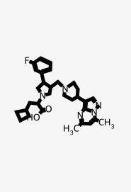 Cc1cc(C)n2ncc(C3CCN(CC4CN(C(CC5CCC5)C(=O)O)CC4c4cccc(F)c4)CC3)c2n1